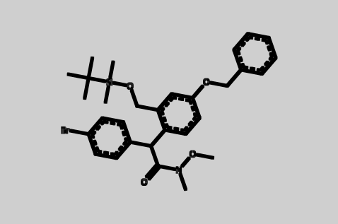 CON(C)C(=O)C(c1ccc(Br)cc1)c1ccc(OCc2ccccc2)cc1CO[Si](C)(C)C(C)(C)C